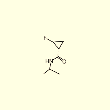 CC(C)NC(=O)[C@H]1CC1F